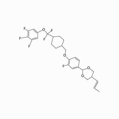 C/C=C/C1COC(c2ccc(OCC3CCC(C(F)(F)Oc4cc(F)c(F)c(F)c4)CC3)c(F)c2)OC1